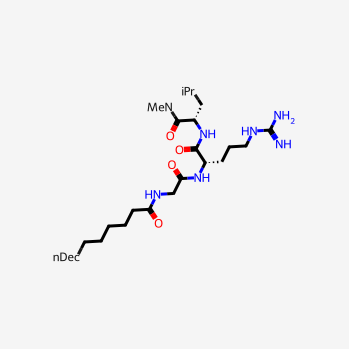 CCCCCCCCCCCCCCCC(=O)NCC(=O)N[C@@H](CCCNC(=N)N)C(=O)N[C@@H](CC(C)C)C(=O)NC